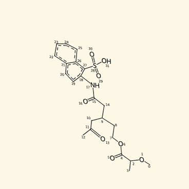 COC(C)C(=O)OCCC(CC(C)=O)CC(=O)Nc1ccc2ccccc2c1S(=O)(=O)O